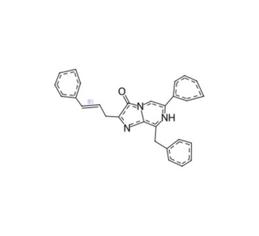 O=c1c(C/C=C/c2ccccc2)nc2c(Cc3ccccc3)[nH]c(-c3ccccc3)cn1-2